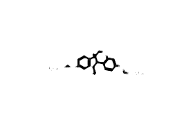 C=CCC1c2ccc(OCOC)cc2OCC1(CC)c1ccc(OCOC)cc1